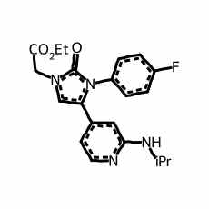 CCOC(=O)Cn1cc(-c2ccnc(NC(C)C)c2)n(-c2ccc(F)cc2)c1=O